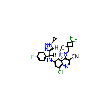 BC(Nc1cc(Cl)c2ncc(C#N)c(NCC3(C)CC(F)(F)C3)c2c1)(c1ccc(F)cc1)c1cn(C2CC2)nn1